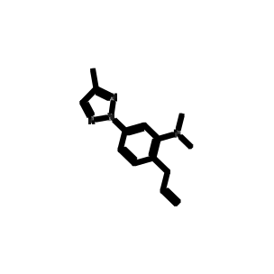 C=CCc1ccc(-n2ncc(C)n2)cc1N(C)C